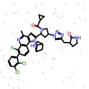 Cc1nc2c(F)c(-c3cccc(Cl)c3Cl)ccc2c2c1cc(C1CC(n3cc(CC4CCNC4=O)nn3)CN1C(=O)C1CC1)n2C1C2CNC1C2